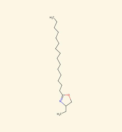 CCCCCCCCCCCCCCCC1=NC(CC)CO1